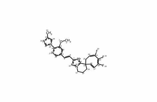 COc1cc(/C=C/c2nc3n(n2)CCCC32/C=C/C(F)=C(F)\C(F)=C/C2)cnc1-n1cnc(C)c1